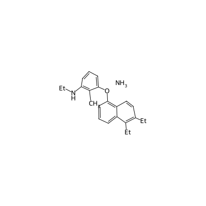 CCNc1cccc(Oc2cccc3c(CC)c(CC)ccc23)c1C.N